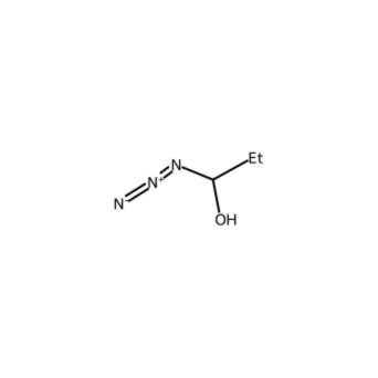 CCC(O)N=[N+]=[N-]